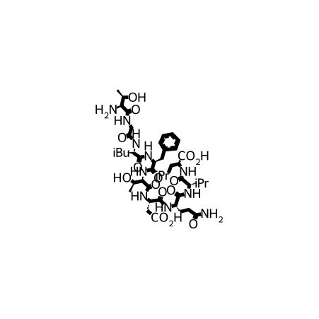 CC[C@H](C)[C@H](NC(=O)CNC(=O)[C@@H](N)[C@@H](C)O)C(=O)N[C@@H](Cc1ccccc1)C(=O)N[C@H](C(=O)N[C@@H](CC(=O)O)C(=O)N[C@@H](CCC(N)=O)C(=O)N[C@H](C(=O)N[C@@H](CC(C)C)C(=O)O)C(C)C)[C@@H](C)O